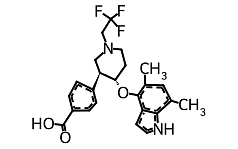 Cc1cc(C)c2[nH]ccc2c1O[C@H]1CCN(CC(F)(F)F)C[C@@H]1c1ccc(C(=O)O)cc1